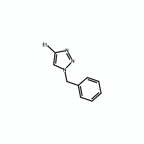 CCc1cn(Cc2ccccc2)nn1